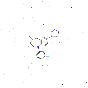 CN1CCN(c2cccc(F)c2)c2ccc(-c3cccnc3)cc2C1